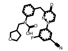 N#Cc1cc(F)cc(-n2ccc(=O)c(Cc3cccc(N(CC4CCOC4)C(=O)O)c3)n2)c1